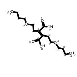 CCCCOCCC(C(=O)O)=C(CCOCCCC)C(=O)O